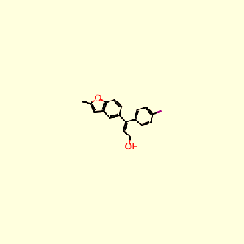 Cc1cc2cc(C(=CCO)c3ccc(I)cc3)ccc2o1